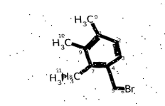 Cc1ccc(CBr)c(C)c1C.P